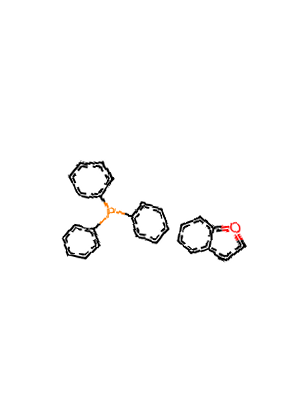 c1ccc(P(c2ccccc2)c2ccccc2)cc1.c1ccc2occc2c1